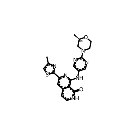 Cc1csc(-c2cc3cc[nH]c(=O)c3c(Nc3cnc(N4CCO[C@H](C)C4)nc3)n2)n1